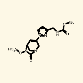 CC(C)(C)OC(=O)NCc1ccn(C2=CC3CN(C2)C(=O)N3OS(=O)(=O)O)n1